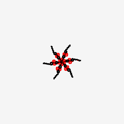 CCCCCCCC1CCC(C(=O)OC2CCC(COc3c(OCC4CCC(OC(=O)C5CCC(CCCCCCC)CC5)CC4)c(OCC4CCC(OC(=O)C5CCC(CCCCCCC)CC5)CC4)c(OCC4CCC(OC(=O)C5CCC(CCCCCCC)CC5)CC4)c(OCC4CCC(OC(=O)C5CCC(CCCCCCC)CC5)CC4)c3OCC3CCC(OC(=O)C4CCC(CCCCCCC)CC4)CC3)CC2)CC1